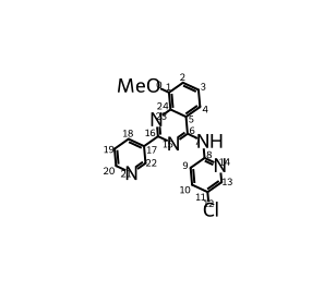 COc1cccc2c(Nc3ccc(Cl)cn3)nc(-c3cccnc3)nc12